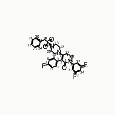 O=c1c(-c2ccc(F)cc2)c(N2CCN(S(=O)(=O)Cc3ccccc3)CC2)cnn1-c1cc(F)cc(F)c1